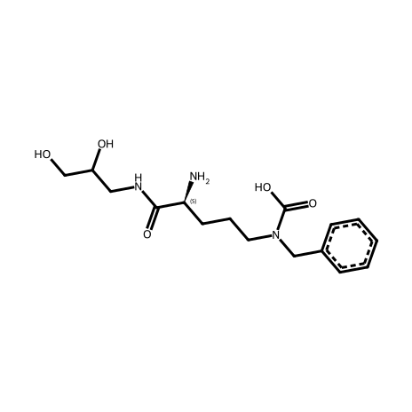 N[C@@H](CCCN(Cc1ccccc1)C(=O)O)C(=O)NCC(O)CO